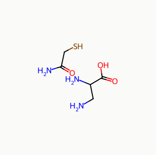 NC(=O)CS.NCC(N)C(=O)O